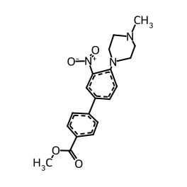 COC(=O)c1ccc(-c2ccc(N3CCN(C)CC3)c([N+](=O)[O-])c2)cc1